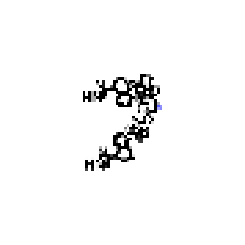 CCS(=O)(=O)N(OC(=O)/C=C\C(=O)OC(C)S(=O)(=O)Nc1cccc2c1CCCC2c1c[nH]cn1)c1cccc2c1CCCC2c1c[nH]cn1